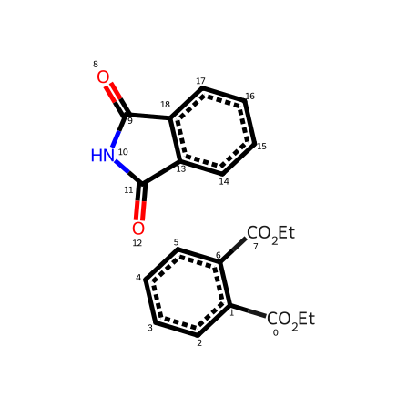 CCOC(=O)c1ccccc1C(=O)OCC.O=C1NC(=O)c2ccccc21